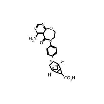 Nc1ncnc2c1C(=O)N(c1ccc([C@H]3C[C@H]4C[C@@H]3C3C(C(=O)O)C34)cc1)CCO2